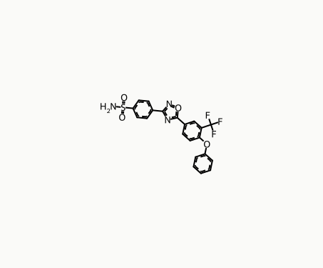 NS(=O)(=O)c1ccc(-c2noc(-c3ccc(Oc4ccccc4)c(C(F)(F)F)c3)n2)cc1